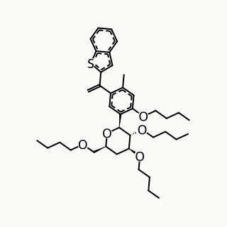 C=C(c1cc2ccccc2s1)c1cc([C@@H]2O[C@H](COCCCC)C[C@H](OCCCC)[C@H]2OCCCC)c(OCCCC)cc1C